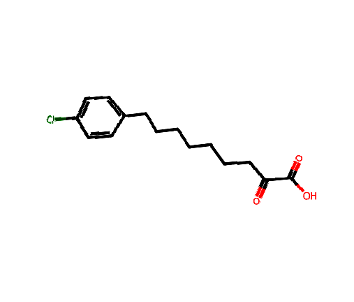 O=C(O)C(=O)CCCCCCCc1ccc(Cl)cc1